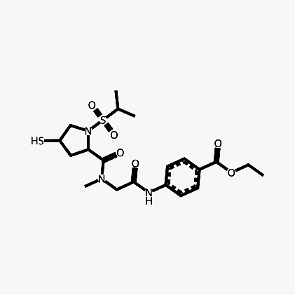 CCOC(=O)c1ccc(NC(=O)CN(C)C(=O)C2CC(S)CN2S(=O)(=O)C(C)C)cc1